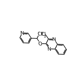 FC(F)(F)C(Oc1nc2ccccc2nc1Cl)c1cccnc1